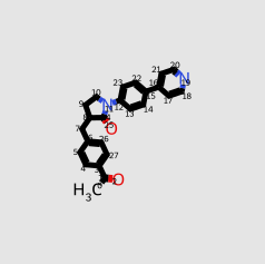 CC(=O)c1ccc(CC2CCN(c3ccc(-c4ccncc4)cc3)C2=O)cc1